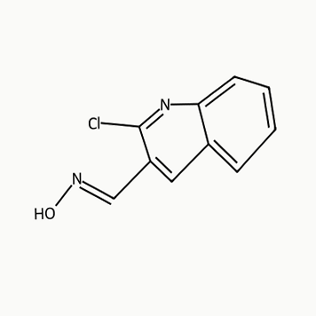 O/N=C/c1cc2ccccc2nc1Cl